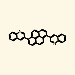 c1ccc2ncc(-c3ccc4ccc5c(-c6cnc7ccccc7c6)ccc6ccc3c4c65)cc2c1